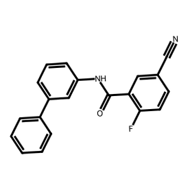 N#Cc1ccc(F)c(C(=O)Nc2cccc(-c3ccccc3)c2)c1